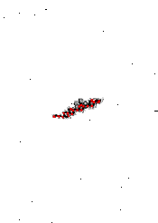 CCCCCC1CCC(C2CCC(CCc3ccc(OCC4CCC(CCC)CC4)c(F)c3F)CC2)CC1